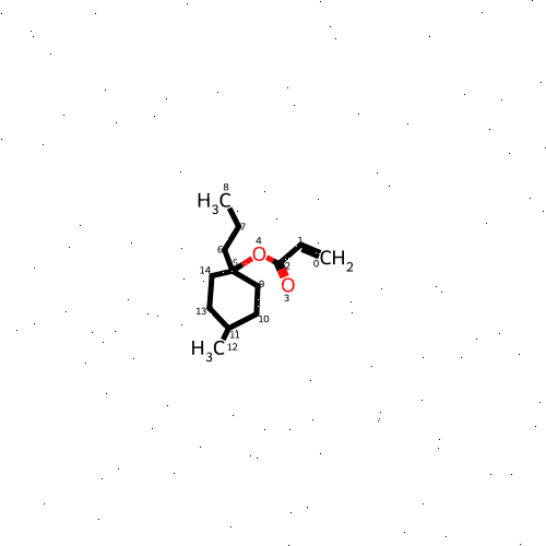 C=CC(=O)OC1(CCC)CCC(C)CC1